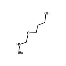 CC(C)(C)NCOCCCO